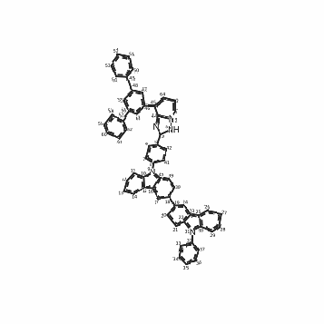 C1=CN2NC(c3ccc(-n4c5ccccc5c5cc(-c6ccc7c(c6)c6ccccc6n7-c6ccccc6)ccc54)cc3)N=C2C(c2cc(-c3ccccc3)cc(-c3ccccc3)c2)=C1